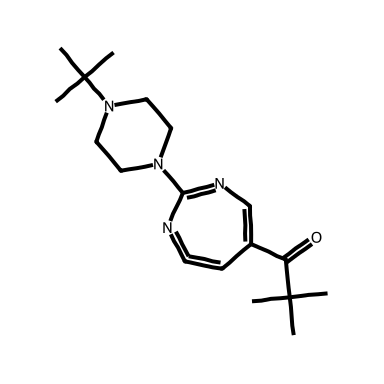 CC(C)(C)C(=O)C1=CN=C(N2CCN(C(C)(C)C)CC2)N=C=C1